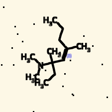 CCC/C(C)=C\C(C)(CC)N(C)C